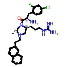 C[C@@H]1CN(C(=O)[C@H](N)Cc2ccc(Cl)cc2F)[C@@H](CCCNC(=N)N)CN1CCc1ccc2ccccc2c1